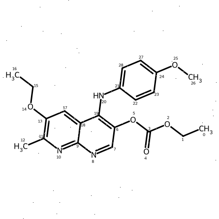 CCOC(=O)Oc1cnc2nc(C)c(OCC)cc2c1Nc1ccc(OC)cc1